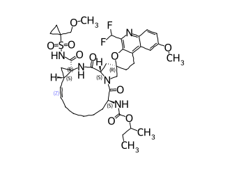 CCC(C)OC(=O)N[C@H]1CCCCC/C=C\[C@@H]2C[C@@]2(C(=O)NS(=O)(=O)C2(COC)CC2)NC(=O)[C@@H]2C[C@]3(CCc4c(c(C(F)F)nc5ccc(OC)cc45)O3)CN2C1=O